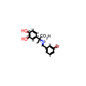 CC(N=Cc1cccc(Br)c1)(C(=O)O)c1ccc(O)c(O)c1